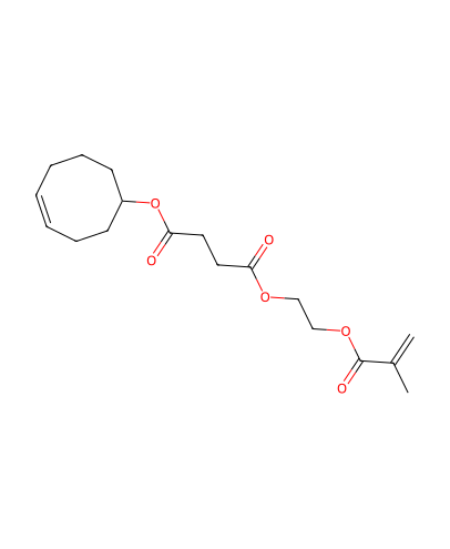 C=C(C)C(=O)OCCOC(=O)CCC(=O)OC1CC/C=C\CCC1